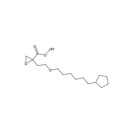 CCCOC(=O)C1(CCOCCCCCCC2CCCC2)CO1